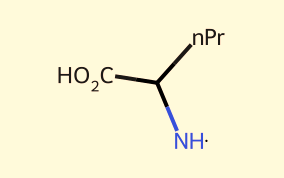 CCCC([NH])C(=O)O